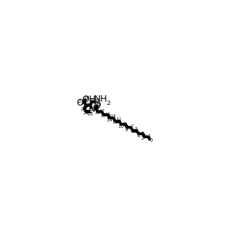 CCC=CCC=CCC=CCC=CCC=CCCCC(=O)N1C=CC=C(C(=O)O)C1CCN